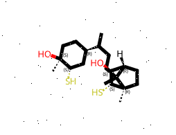 CC(CCC1(C)[C@H]2CC[C@@]1(C)[C@H](S)[C@H]2O)[C@@H]1CC[C@](C)(O)[C@@H](S)C1